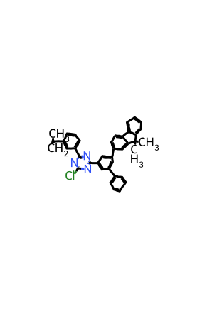 C=C(C)c1cccc(-c2nc(Cl)nc(-c3cc(-c4ccccc4)cc(-c4ccc5c(c4)C(C)(C)c4ccccc4-5)c3)n2)c1